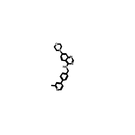 Cc1cc(-c2ccc(CNc3ncnc4cc(N5CCOCC5)ccc34)cc2)ccn1